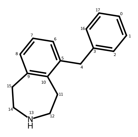 c1ccc(Cc2cccc3c2CCNCC3)cc1